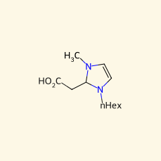 CCCCCCN1C=CN(C)C1CC(=O)O